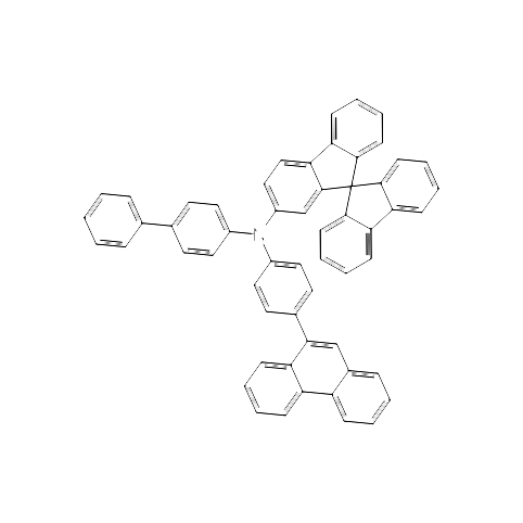 c1ccc(-c2ccc(N(c3ccc(-c4cc5ccccc5c5ccccc45)cc3)c3ccc4c(c3)C3(c5ccccc5-c5ccccc53)c3ccccc3-4)cc2)cc1